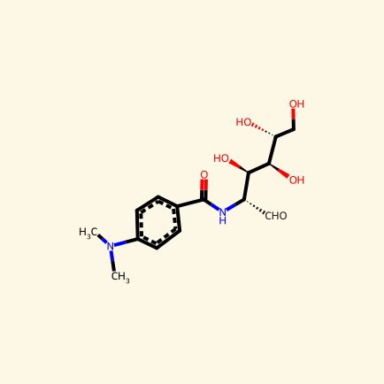 CN(C)c1ccc(C(=O)N[C@@H](C=O)[C@@H](O)[C@H](O)[C@H](O)CO)cc1